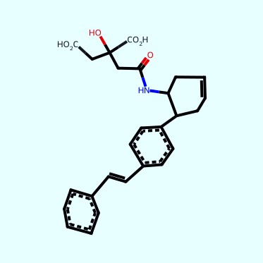 O=C(O)CC(O)(CC(=O)NC1CC=CCC1c1ccc(C=Cc2ccccc2)cc1)C(=O)O